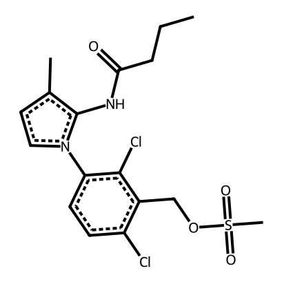 CCCC(=O)Nc1c(C)ccn1-c1ccc(Cl)c(COS(C)(=O)=O)c1Cl